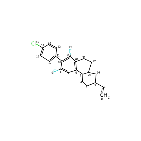 C=CC1CCC2c3cc(F)c(-c4ccc(Cl)cc4)c(F)c3CCC2C1